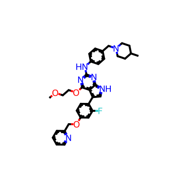 COCCOc1nc(Nc2ccc(CN3CCC(C)CC3)cc2)nc2[nH]cc(-c3ccc(OCc4ccccn4)cc3F)c12